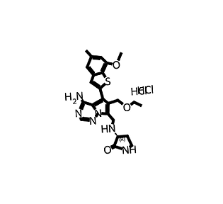 CCOCc1c(-c2cc3cc(C)cc(OC)c3s2)c2c(N)ncnn2c1CN[C@@H]1CCNC1=O.Cl.Cl